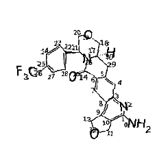 Nc1nc2cc3c(cc2c2c1COC2)C(=O)N1[C@@H](COC[C@@H]1c1ccc(C(F)(F)F)cc1)C3